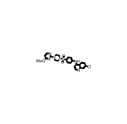 COc1ccnc(N2CCN(S(=O)(=O)c3ccc(Nc4ccnc5cc(Cl)ccc45)cc3)CC2)n1